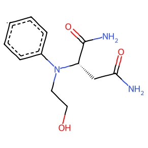 NC(=O)C[C@@H](C(N)=O)N(CCO)c1cc[c]cc1